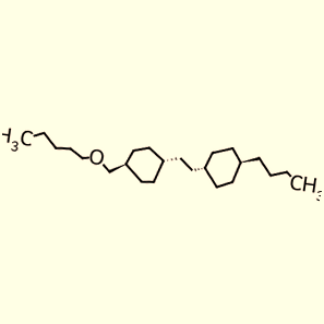 CCCCCOC[C@H]1CC[C@H](CC[C@H]2CC[C@H](CCCC)CC2)CC1